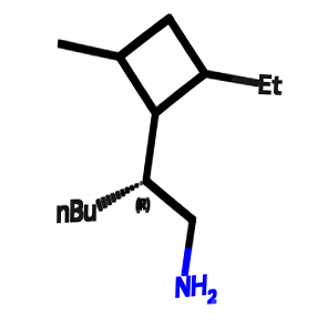 CCCC[C@@H](CN)C1C(C)CC1CC